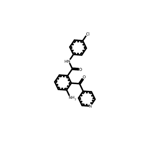 Nc1cccc(C(=O)Nc2ccc(Cl)cc2)c1C(=O)c1ccncc1